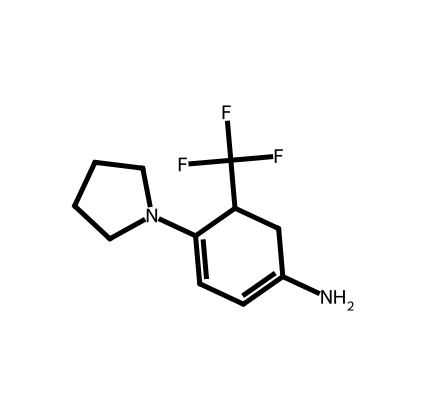 NC1=CC=C(N2CCCC2)C(C(F)(F)F)C1